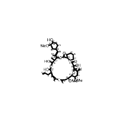 C=CCC1C=C(C)CC(C)CC(OC)C2OC(O)(C(C)CC2OC)C(O)C(=O)N2CCCCC2C(=O)OC(C(C)=CC2CCC(O)C(OC)C2)C(C)C(O)CC1O